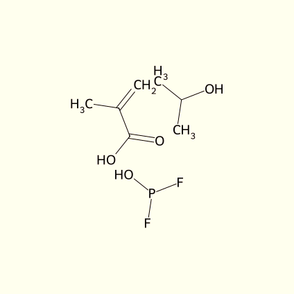 C=C(C)C(=O)O.CC(C)O.OP(F)F